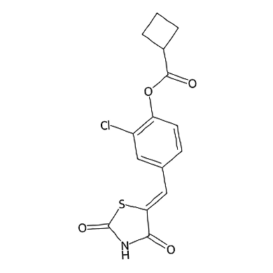 O=C1NC(=O)C(=Cc2ccc(OC(=O)C3CCC3)c(Cl)c2)S1